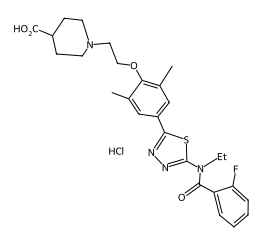 CCN(C(=O)c1ccccc1F)c1nnc(-c2cc(C)c(OCCN3CCC(C(=O)O)CC3)c(C)c2)s1.Cl